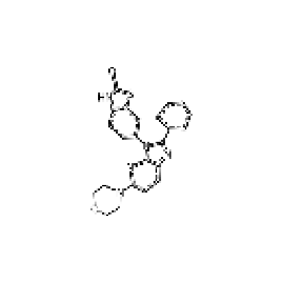 O=c1[nH]c2ccc(-n3c(-c4ccccc4)nc4ccc(N5CCOCC5)nc43)cc2s1